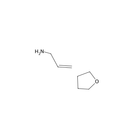 C1CCOC1.C=CCN